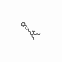 CCCCC([C](C)C)C(CCC)CCCCOCc1ccccc1